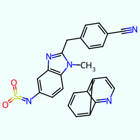 Cn1c(Cc2ccc(C#N)cc2)nc2cc(N=S(=O)=O)ccc21.c1cc2c3ccnc2c3c1